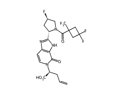 C=CC[C@@H](C(=O)O)n1ccc2nc([C@@H]3C[C@@H](F)CN3C(=O)C3(C(F)(F)F)CC(F)(F)C3)[nH]c2c1=O